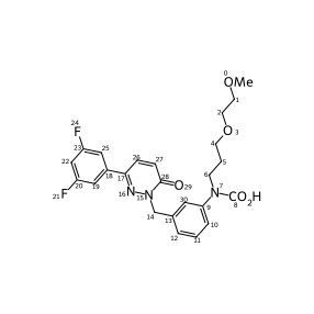 COCCOCCCN(C(=O)O)c1cccc(Cn2nc(-c3cc(F)cc(F)c3)ccc2=O)c1